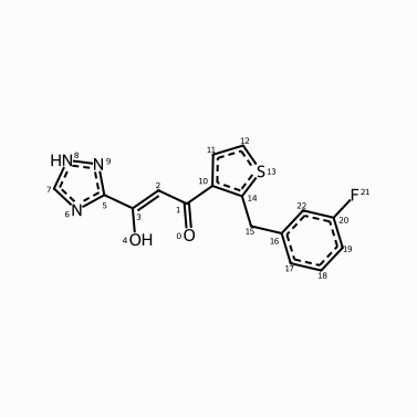 O=C(C=C(O)c1nc[nH]n1)c1ccsc1Cc1cccc(F)c1